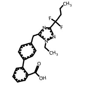 CCCC(F)(F)c1nc(Cc2ccc(-c3ccccc3C(=O)O)cc2)n(CC)n1